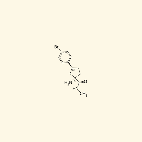 CNC(=O)[C@]1(N)CC[C@H](c2ccc(Br)cc2)C1